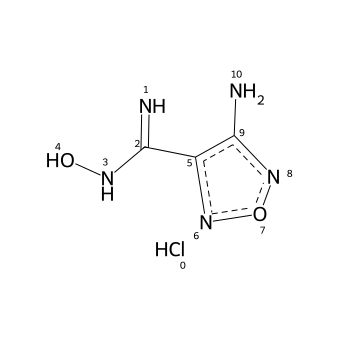 Cl.N=C(NO)c1nonc1N